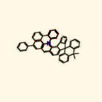 CC1(C)c2ccccc2C2(c3ccccc3-c3c(N(c4ccc(-c5ccccc5)cc4)c4ccccc4-c4ccccc4-c4ccccc4-c4ccccc4)cccc32)c2ccccc21